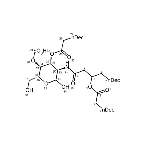 CCCCCCCCCCCC(=O)OC(CCCCCCCCCCC)CC(=O)N[C@H]1C(O)O[C@H](CO)[C@@H](OS(=O)(=O)O)[C@@H]1OC(=O)CCCCCCCCCCC